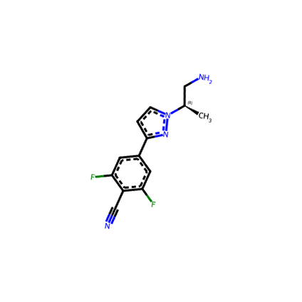 C[C@H](CN)n1ccc(-c2cc(F)c(C#N)c(F)c2)n1